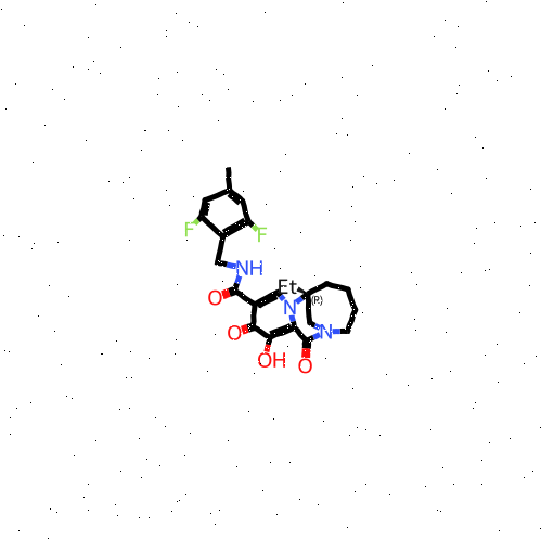 CC[C@@]12CCCCN(C1)C(=O)c1c(O)c(=O)c(C(=O)NCc3c(F)cc(C)cc3F)cn12